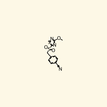 COc1nsc(S(=O)(=O)Cc2ccc(C#N)cc2)n1